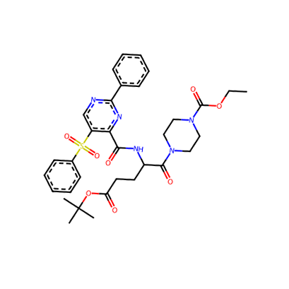 CCOC(=O)N1CCN(C(=O)C(CCC(=O)OC(C)(C)C)NC(=O)c2nc(-c3ccccc3)ncc2S(=O)(=O)c2ccccc2)CC1